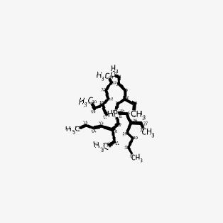 CCCCC(CC)C[PH](CC(CC)CCCC)(CC(CC)CCCC)CC(CC)CCCC